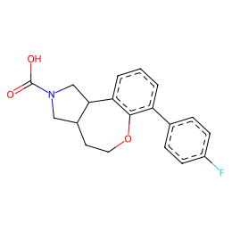 O=C(O)N1CC2CCOc3c(-c4ccc(F)cc4)cccc3C2C1